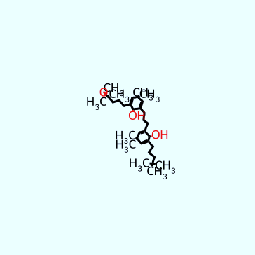 COC(C)(C)CCCC1=CC(C)(C)C=C(CCCC2=CC(C)(C)C=C(CCCC(C)(C)C)C2O)C1O